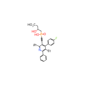 CCc1c(-c2ccccc2)nc(C(C)C)c(C#CP(=O)(O)CC(O)CC(=O)O)c1-c1ccc(F)cc1